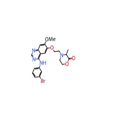 COc1cc2ncnc(Nc3cccc(Br)c3)c2cc1OCCN1CCOC(=O)C1C